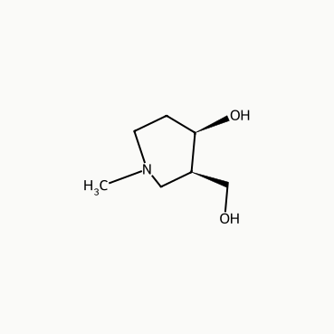 CN1CC[C@@H](O)[C@@H](CO)C1